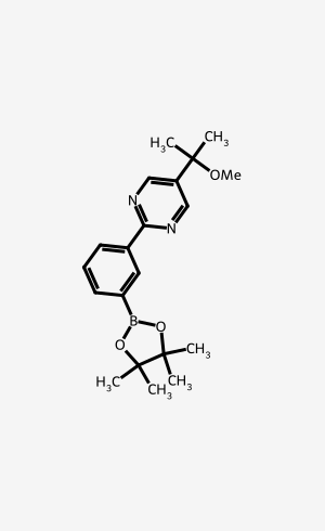 COC(C)(C)c1cnc(-c2cccc(B3OC(C)(C)C(C)(C)O3)c2)nc1